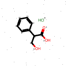 Cl.O=C(O)C(CO)c1ccccc1